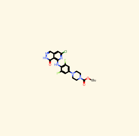 CC(C)(C)OC(=O)N1CCN(c2cc(F)c(Nc3nc(Cl)cc4cn[nH]c(=O)c34)c(F)c2)CC1